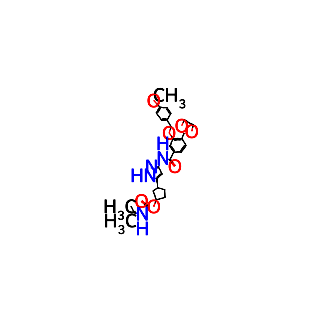 COc1ccc(COc2cc(C(=O)Nc3cc([C@H]4CC[C@@H](OC(=O)NC(C)C)C4)[nH]n3)ccc2C2OCCO2)cc1